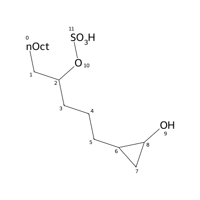 CCCCCCCCCC(CCCC1CC1O)OS(=O)(=O)O